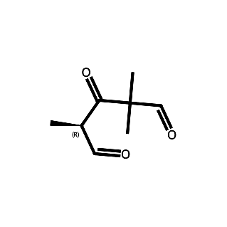 C[C@H](C=O)C(=O)C(C)(C)C=O